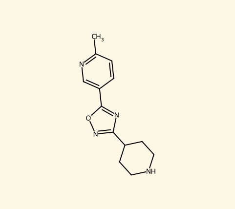 Cc1ccc(-c2nc(C3CCNCC3)no2)cn1